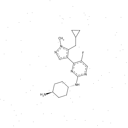 Cn1n[c]c(-c2nc(N[C@H]3CC[C@H](N)CC3)ncc2F)c1CC1CC1